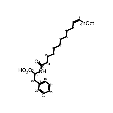 CCCCCCCC/C=C\CCCCCCCCCC(=O)NC(Cc1ccccc1)C(=O)O